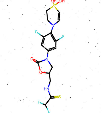 O=C1OC(CNC(=S)C(F)F)CN1c1cc(F)c(N2C=CS(O)(O)CC2)c(F)c1